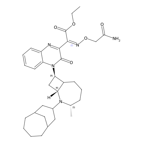 CCOC(=O)/C(=N\OCC(N)=O)c1nc2ccccc2n([C@@H]2C[C@@H]3C2CCC[C@H](C)N3C2CC3CCCCC(C3)C2)c1=O